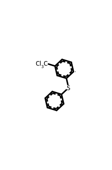 ClC(Cl)(Cl)c1cc[c]c(Sc2ccccc2)c1